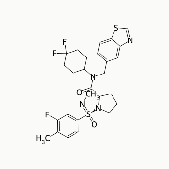 CN=[S@](=O)(c1ccc(C)c(F)c1)N1CCC[C@H]1C(=O)N(Cc1ccc2scnc2c1)C1CCC(F)(F)CC1